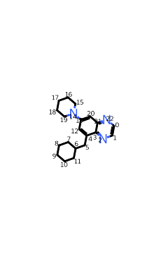 c1cnc2c(CC3CCCCC3)cc(N3CCCCC3)cc2n1